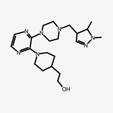 CC1C(CN2CCN(c3nccnc3N3CCC(CCO)CC3)CC2)C=NN1C